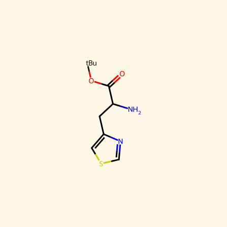 CC(C)(C)OC(=O)C(N)Cc1cscn1